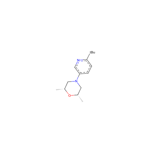 C[C@@H]1CN(c2ccc(C(C)(C)C)nc2)C[C@H](C)O1